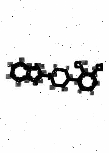 Clc1cccc(C2CCN(c3nc4ccccc4s3)CC2)c1Cl